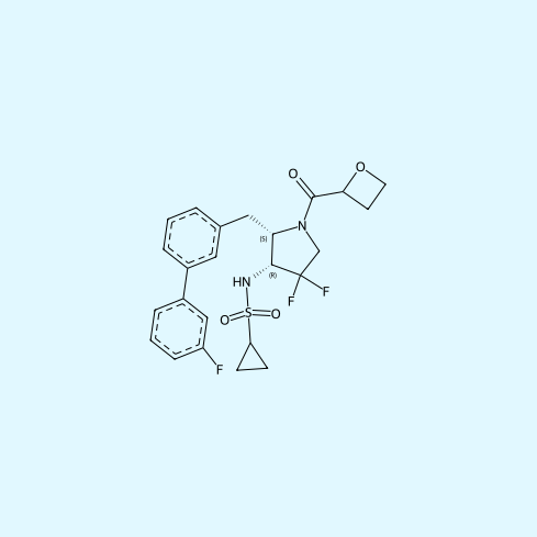 O=C(C1CCO1)N1CC(F)(F)[C@H](NS(=O)(=O)C2CC2)[C@@H]1Cc1cccc(-c2cccc(F)c2)c1